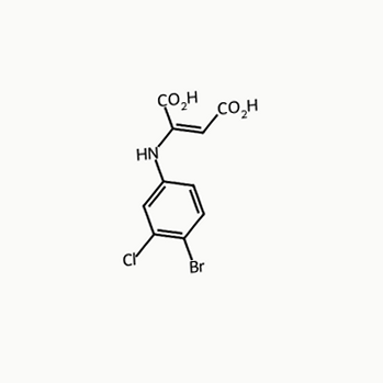 O=C(O)C=C(Nc1ccc(Br)c(Cl)c1)C(=O)O